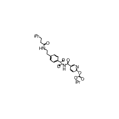 CC(C)CCC(=O)NCCc1ccc(S(=O)(=O)NC(=O)c2ccc(OC(=O)OC(C)C)nc2)cc1